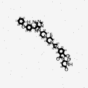 Nc1ncnc2c1c(-c1ccc(Oc3ccccc3)cc1)nn2C1CCN(C2CCN(C3CN(c4ccc5c(c4)C(=O)N(C4CCC(=O)NC4=O)C5=O)C3)CC2F)CC1